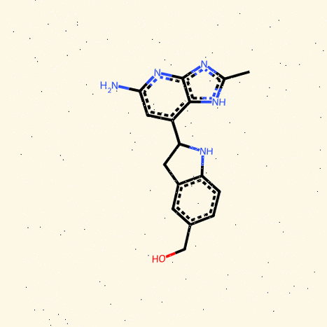 Cc1nc2nc(N)cc(C3Cc4cc(CO)ccc4N3)c2[nH]1